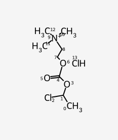 CC(Cl)OC(=O)OCC[N+](C)(C)C.Cl